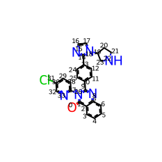 O=c1c2ccccc2nc(-c2ccc(-c3nccn3C3CCNC3)cc2)n1-c1ccc(Cl)cn1